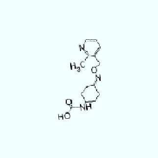 Cc1ncccc1CON=C1CCC(NC(=O)O)CC1